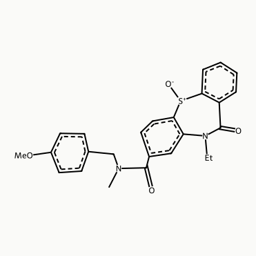 CCN1C(=O)c2ccccc2[S+]([O-])c2ccc(C(=O)N(C)Cc3ccc(OC)cc3)cc21